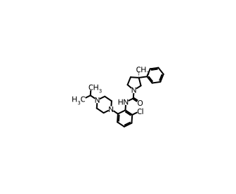 CC(C)N1CCN(c2cccc(Cl)c2NC(=O)N2CC[C@@](C)(c3ccccc3)C2)CC1